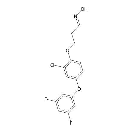 ON=CCCOc1ccc(Oc2cc(F)cc(F)c2)cc1Cl